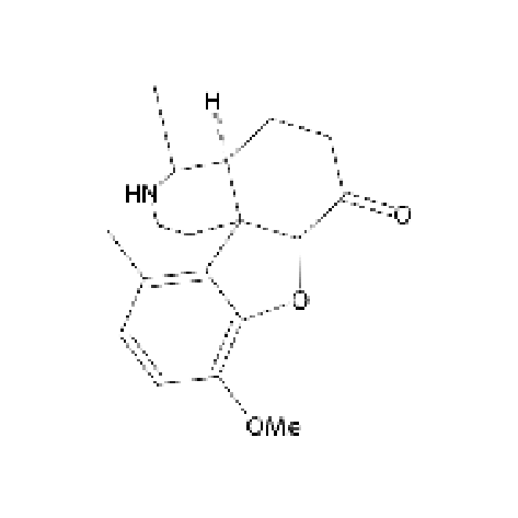 COc1ccc(C)c2c1OC1C(=O)CC[C@@H]3C(C)NCCC213